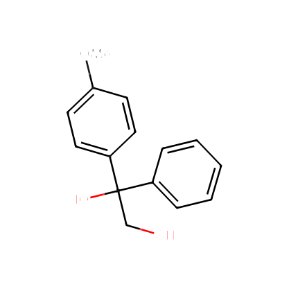 COc1ccc(C(O)(CO)c2ccccc2)cc1